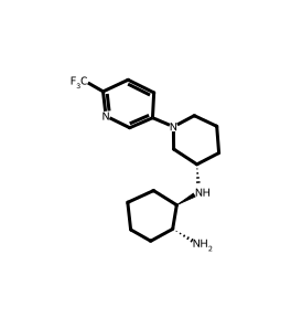 N[C@@H]1CCCC[C@H]1N[C@H]1CCCN(c2ccc(C(F)(F)F)nc2)C1